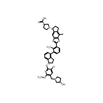 COc1nc(O[C@H]2CCc3c(-c4cccc(-c5nc6cc7c(c(F)c6o5)CC[C@H]7N5CC[C@@H](C(=O)O)C5)c4C)cccc32)c(Cl)cc1CN1CC[C@@H](O)C1